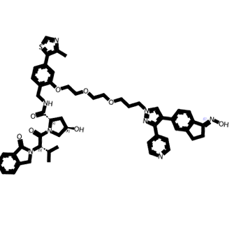 Cc1ncsc1-c1ccc(CNC(=O)[C@@H]2C[C@@H](O)CN2C(=O)[C@H](C(C)C)N2Cc3ccccc3C2=O)c(OCCOCCOCCCn2cc(-c3ccc4c(c3)CC/C4=N\O)c(-c3ccncc3)n2)c1